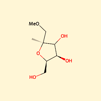 COC[C@]1(C)O[C@H](CO)[C@H](O)C1O